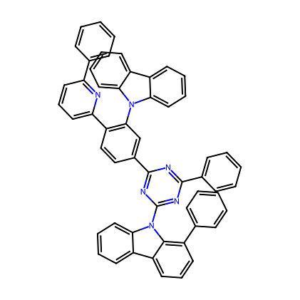 c1ccc(-c2cccc(-c3ccc(-c4nc(-c5ccccc5)nc(-n5c6ccccc6c6cccc(-c7ccccc7)c65)n4)cc3-n3c4ccccc4c4ccccc43)n2)cc1